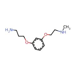 CNCCOc1cccc(OCCCN)c1